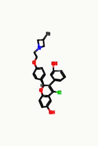 CCC1CN(CCOc2ccc([C@@H]3Oc4ccc(O)cc4C(Cl)=C3c3cccc(O)c3)cc2)C1